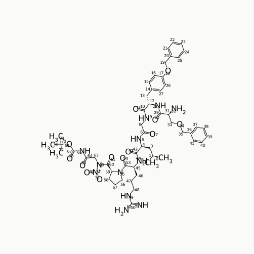 CC(C)C[C@H](NC(=O)CNC(=O)[C@H](Cc1ccc(OCc2ccccc2)cc1)NC(=O)[C@@H](N)COCc1ccccc1)C(=O)N[C@@H](CCCNC(=N)N)C(=O)N1CCC[C@H]1C(=O)N(CC(=O)NC(=O)OC(C)(C)C)[N+](=O)[O-]